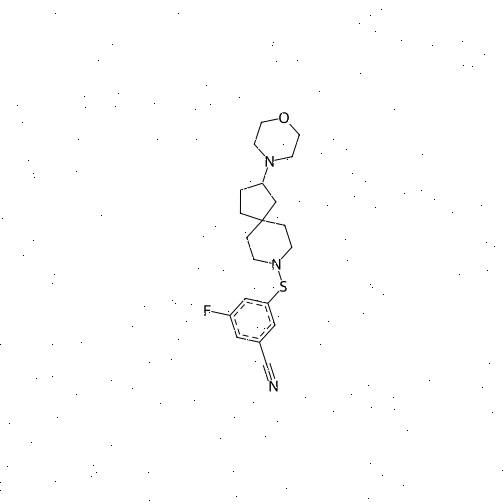 N#Cc1cc(F)cc(SN2CCC3(CCC(N4CCOCC4)C3)CC2)c1